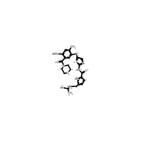 COc1cc(C)c(Sc2cnc(NC(=O)c3ccc(CNC(C)C(C)C)[nH]3)s2)cc1C(=O)N1CCOCC1